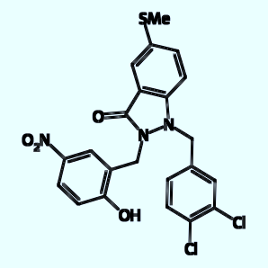 CSc1ccc2c(c1)c(=O)n(Cc1cc([N+](=O)[O-])ccc1O)n2Cc1ccc(Cl)c(Cl)c1